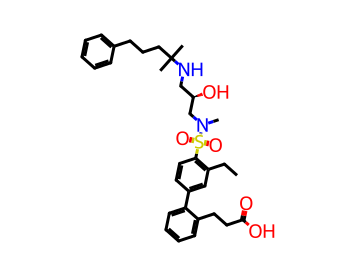 CCc1cc(-c2ccccc2CCC(=O)O)ccc1S(=O)(=O)N(C)C[C@H](O)CNC(C)(C)CCCc1ccccc1